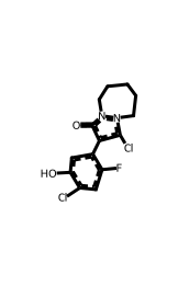 O=c1c(-c2cc(O)c(Cl)cc2F)c(Cl)n2n1CCCCC2